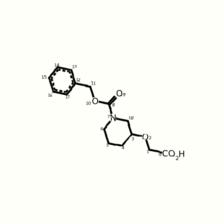 O=C(O)COC1CCCN(C(=O)OCc2ccccc2)C1